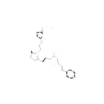 C[C@@H](CCCCc1ccccc1)[C@H](O)C=CC1CCC(=O)N1CCCc1ccc(C(=O)O)s1